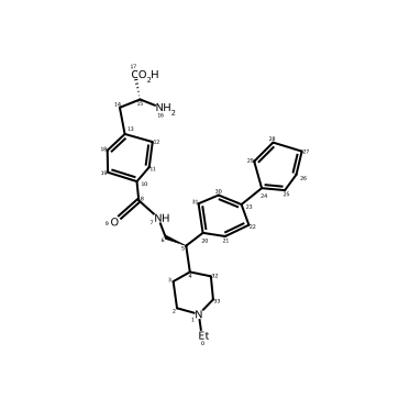 CCN1CCC([C@@H](CNC(=O)c2ccc(C[C@@H](N)C(=O)O)cc2)c2ccc(-c3ccccc3)cc2)CC1